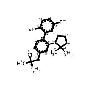 CC(C)(C)Cc1ccc(-c2cc(F)ccc2F)c([C@H]2CCCC2(C)C)c1